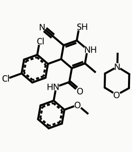 CN1CCOCC1.COc1ccccc1NC(=O)C1=C(C)NC(S)=C(C#N)C1c1ccc(Cl)cc1Cl